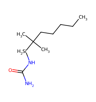 CCCCCC(C)(C)[SiH2]NC(N)=O